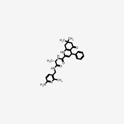 Cc1nc(N)ccc1CNC(=O)[C@H](C)NC(=O)C1=CC(c2ccccc2)C2=C(CC(C)(C)CC2=O)N1